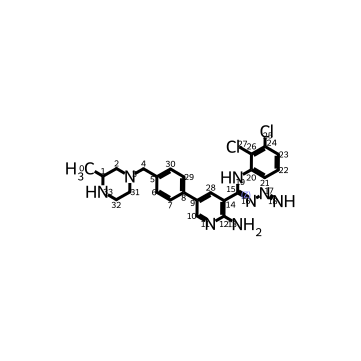 CC1CN(Cc2ccc(-c3cnc(N)c(/C(=N/N=N)Nc4cccc(Cl)c4Cl)c3)cc2)CCN1